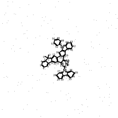 CC1(C)c2ccccc2-c2cc3c(cc21)c1cc2c(cc1c1nnc(-n4c5ccccc5c5ccccc54)nc31)c1ccccc1n2-c1ccccc1